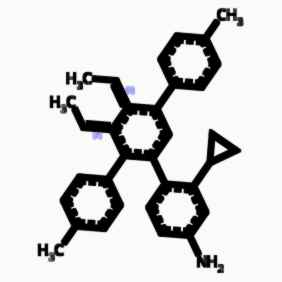 C/C=c1/c(-c2ccc(C)cc2)cc(-c2ccc(N)cc2C2CC2)c(-c2ccc(C)cc2)/c1=C/C